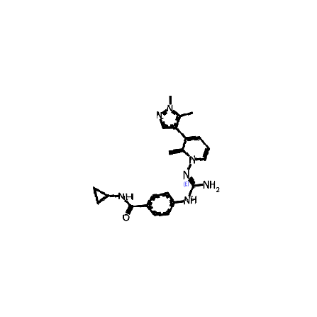 C=C1C(c2cnn(C)c2C)=CC=CN1/N=C(\N)Nc1ccc(C(=O)NC2CC2)cc1